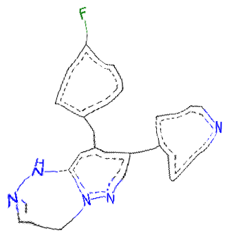 Fc1ccc(-c2c(-c3ccncc3)nn3c2NN=CC3)cc1